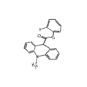 CN1c2ccccc2C(C(=O)Oc2ccccc2F)c2ccccc21